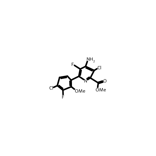 COC(=O)c1nc(-c2ccc(Cl)c(F)c2OC)c(F)c(N)c1Cl